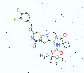 CC(C)(C)OC(=O)NC1(C(=O)N2CCN3c4cc(OCc5ccc(F)c(F)c5)nc(=O)n4CC3C2)CCC1